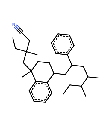 CCC(C)C(C)CC(CC1CCC(C)(CC(C)(CC)CC#N)c2ccccc21)c1ccccc1